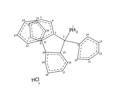 Cl.PC(c1ccccc1)(c1ccccc1)c1ccccc1-c1ccccc1